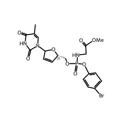 COC(=O)CNP(=O)(OC[C@@H]1C=CC(n2cc(C)c(=O)[nH]c2=O)O1)Oc1ccc(Br)cc1